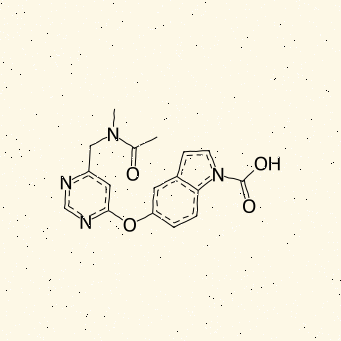 CC(=O)N(C)Cc1cc(Oc2ccc3c(ccn3C(=O)O)c2)ncn1